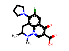 CC1Cc2c(N3CCCC3)c(F)cc3c(=O)c(C(=O)O)cn(c23)N1C